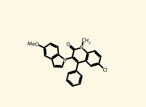 COc1ccc2c(ccn2-c2c(-c3ccccc3)c3cc(Cl)ccc3n(C)c2=O)c1